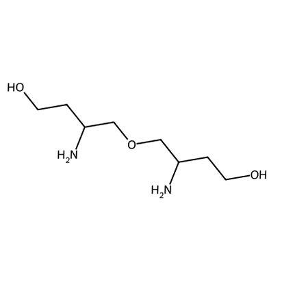 NC(CCO)COCC(N)CCO